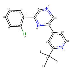 CC(C)(C)c1cc(-c2cncc(-c3cc[c]cc3Cl)n2)ccn1